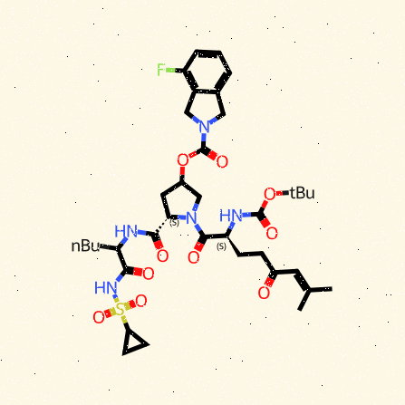 CCCCC(NC(=O)[C@@H]1CC(OC(=O)N2Cc3cccc(F)c3C2)CN1C(=O)[C@H](CCC(=O)C=C(C)C)NC(=O)OC(C)(C)C)C(=O)NS(=O)(=O)C1CC1